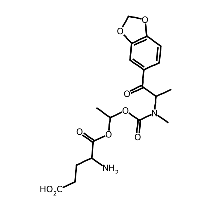 CC(OC(=O)C(N)CCC(=O)O)OC(=O)N(C)C(C)C(=O)c1ccc2c(c1)OCO2